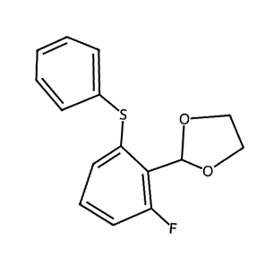 Fc1cccc(Sc2ccccc2)c1C1OCCO1